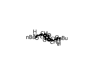 CCCCNC(=O)CCCC(C)(C)c1ccc2c(c1)C(=O)c1ccc(C(C)(C)CCCC(=O)NCCCC)cc1C2=O